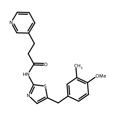 COc1ccc(Cc2cnc(NC(=O)CCc3cccnc3)s2)cc1C